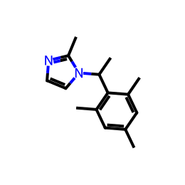 Cc1cc(C)c(C(C)n2ccnc2C)c(C)c1